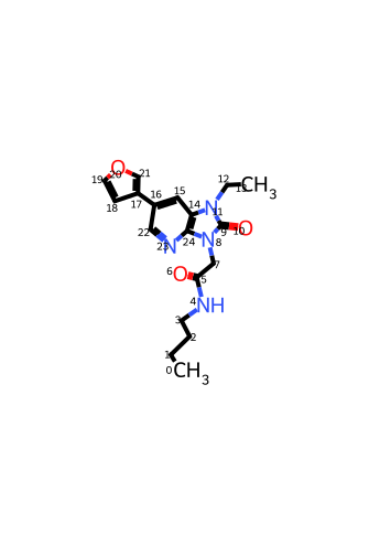 CCCCNC(=O)Cn1c(=O)n(CC)c2cc(-c3ccoc3)cnc21